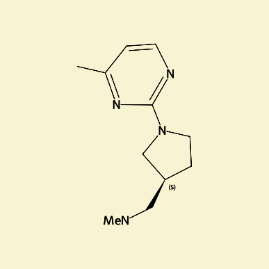 CNC[C@@H]1CCN(c2nccc(C)n2)C1